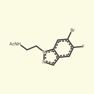 CC(=O)NCCn1ncc2cc(F)c(Br)cc21